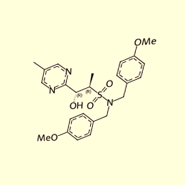 COc1ccc(CN(Cc2ccc(OC)cc2)S(=O)(=O)[C@H](C)[C@H](O)c2ncc(C)cn2)cc1